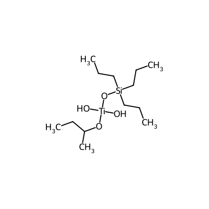 CCC[Si](CCC)(CCC)[O][Ti]([OH])([OH])[O]C(C)CC